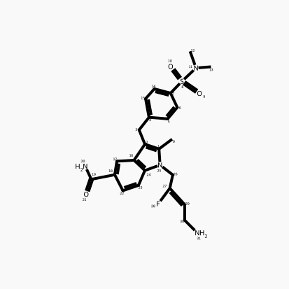 Cc1c(Cc2ccc(S(=O)(=O)N(C)C)cc2)c2cc(C(N)=O)ccc2n1CC(F)=CCN